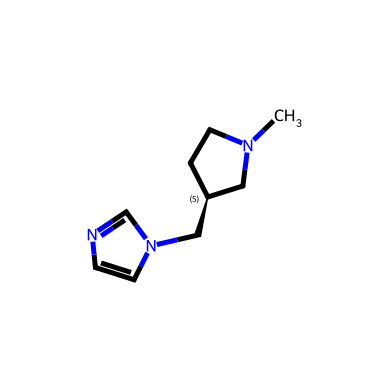 CN1CC[C@H](Cn2ccnc2)C1